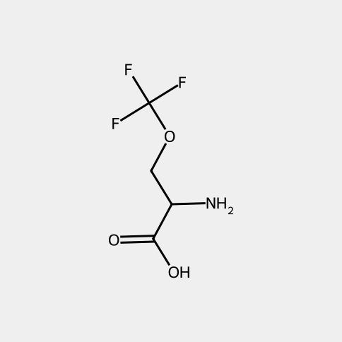 NC(COC(F)(F)F)C(=O)O